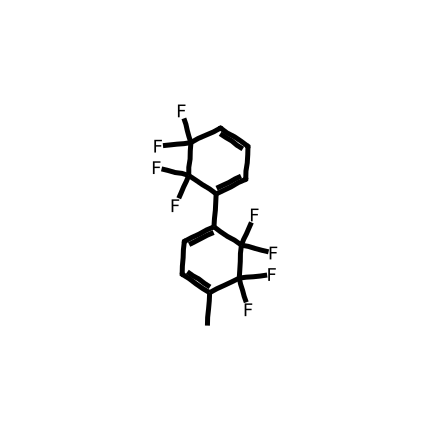 CC1=CC=C(C2=CC=CC(F)(F)C2(F)F)C(F)(F)C1(F)F